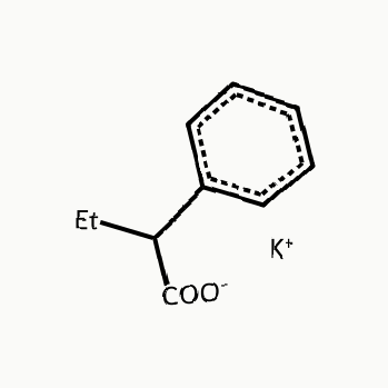 CCC(C(=O)[O-])c1ccccc1.[K+]